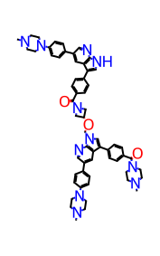 CN1CCN(C(=O)c2ccc(-c3cn(COC4CN(C(=O)c5ccc(-c6c[nH]c7ncc(-c8ccc(N9CCN(C)CC9)cc8)cc67)cc5)C4)c4ncc(-c5ccc(N6CCN(C)CC6)cc5)cc34)cc2)CC1